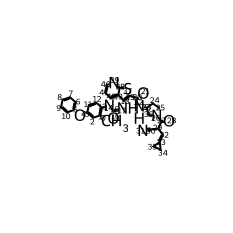 Cc1cc(Oc2ccccc2)ccc1N1C(=O)Nc2c(C(=O)N[C@H]3CCN(C(=O)C(C#N)C=C4CC4)C3)sc3nccc1c23